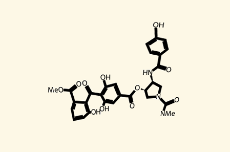 CNC(=O)N1C[C@H](NC(=O)c2ccc(O)cc2)[C@@H](OC(=O)c2cc(O)c(C(=O)c3c(O)cccc3C(=O)OC)c(O)c2)C1